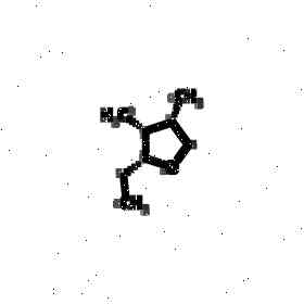 CC[C@H]1OC[C@@H](C)[C@H]1C